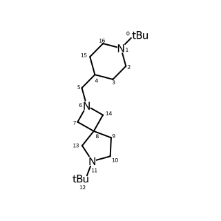 CC(C)(C)N1CCC(CN2CC3(CCN(C(C)(C)C)C3)C2)CC1